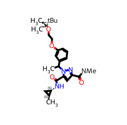 CNC(=O)c1cc(C(=O)N[C@H]2C[C@@H]2C)n(C(C)c2cccc(OCCO[Si](C)(C)C(C)(C)C)c2)n1